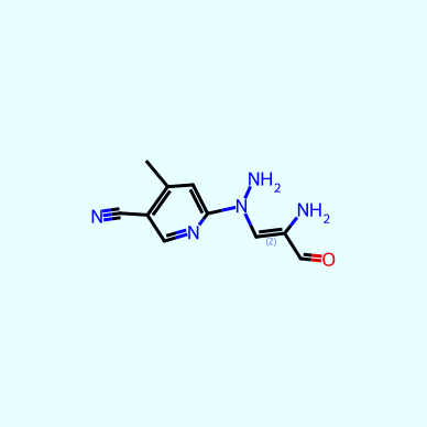 Cc1cc(N(N)/C=C(\N)C=O)ncc1C#N